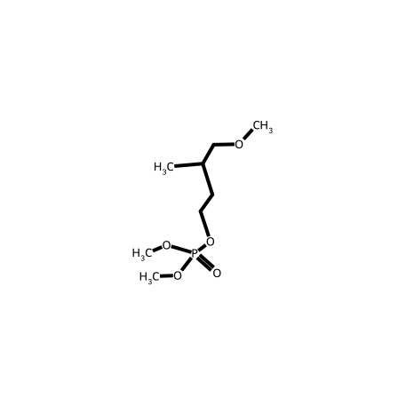 COCC(C)CCOP(=O)(OC)OC